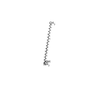 CCCCCCCCCCCCCCCCCCCCCCCCCCCC(O)=CN